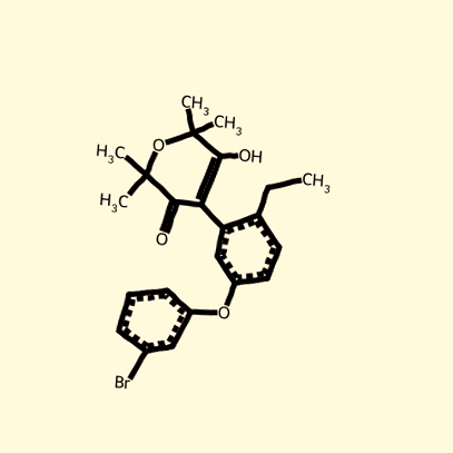 CCc1ccc(Oc2cccc(Br)c2)cc1C1=C(O)C(C)(C)OC(C)(C)C1=O